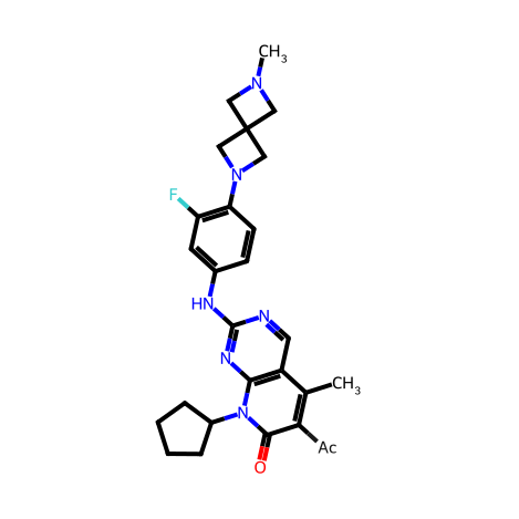 CC(=O)c1c(C)c2cnc(Nc3ccc(N4CC5(CN(C)C5)C4)c(F)c3)nc2n(C2CCCC2)c1=O